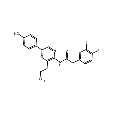 CCCc1nc(-c2ccc(O)cc2)cnc1NC(=O)Cc1ccc(F)c(F)c1